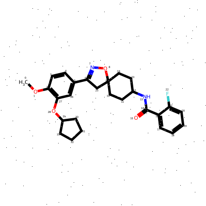 COc1ccc(C2=NOC3(CCC(NC(=O)c4ccccc4F)CC3)C2)cc1OC1CCCC1